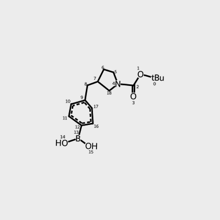 CC(C)(C)OC(=O)N1CCC(Cc2ccc(B(O)O)cc2)C1